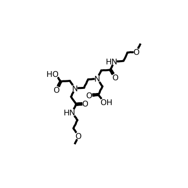 COCCNC(=O)CN(CCN(CC(=O)O)CC(=O)NCCOC)CC(=O)O